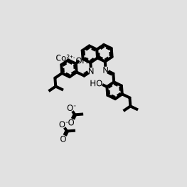 CC(=O)[O-].CC(=O)[O-].CC(C)Cc1ccc(O)c(C=Nc2cccc3cccc(N=Cc4cc(CC(C)C)ccc4O)c23)c1.[Co+2]